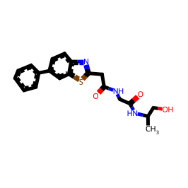 CC(CO)NC(=O)CNC(=O)Cc1nc2ccc(-c3ccccc3)cc2s1